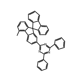 Cc1cccc2c1-c1ccc(-c3nc(-c4ccccc4)nc(-c4ccccc4)n3)cc1C21c2ccccc2-c2ccccc21